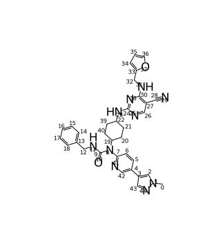 Cn1cc(-c2ccc(N(C(=O)NCc3ccccc3)C3CCC(Nc4ncc(C#N)c(NCc5ccco5)n4)CC3)nc2)cn1